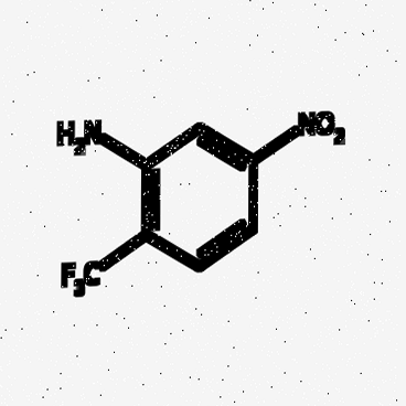 Nc1cc([N+](=O)[O-])ccc1C(F)(F)F